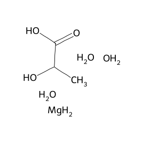 CC(O)C(=O)O.O.O.O.[MgH2]